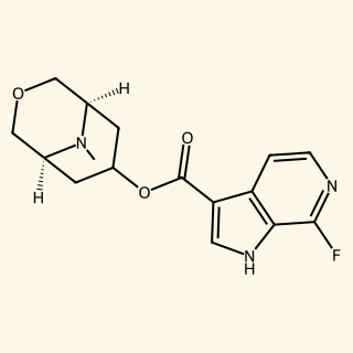 CN1[C@@H]2COC[C@H]1CC(OC(=O)c1c[nH]c3c(F)nccc13)C2